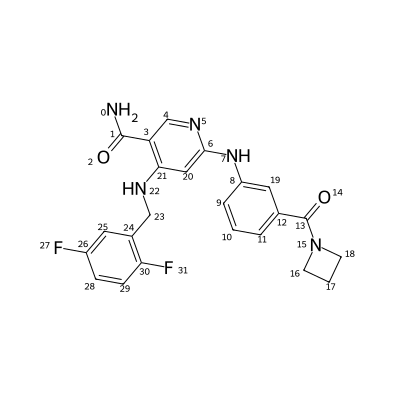 NC(=O)c1cnc(Nc2cccc(C(=O)N3CCC3)c2)cc1NCc1cc(F)ccc1F